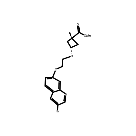 COC(=O)[C@]1(C)C[C@H](OCCOc2ccc3cc(Br)cnc3c2)C1